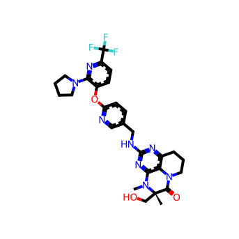 CN1c2nc(NCc3ccc(Oc4ccc(C(F)(F)F)nc4N4CCCC4)nc3)nc3c2N(CCC3)C(=O)[C@]1(C)CO